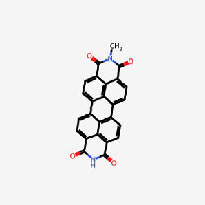 CN1C(=O)c2ccc3c4ccc5c6c(ccc(c7ccc(c2c37)C1=O)c64)C(=O)NC5=O